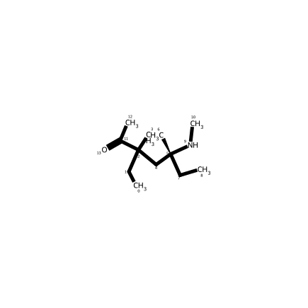 CCC(C)(C[C@@](C)(CC)NC)C(C)=O